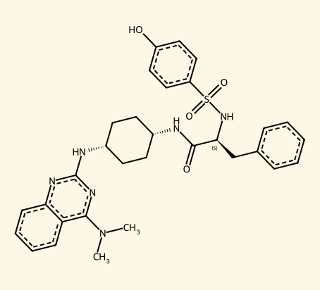 CN(C)c1nc(N[C@H]2CC[C@@H](NC(=O)[C@H](Cc3ccccc3)NS(=O)(=O)c3ccc(O)cc3)CC2)nc2ccccc12